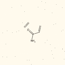 C=C.C=CC(N)=O